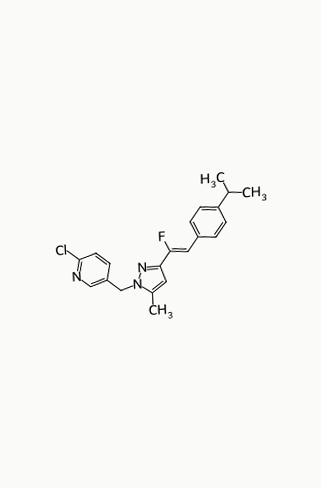 Cc1cc(C(F)=Cc2ccc(C(C)C)cc2)nn1Cc1ccc(Cl)nc1